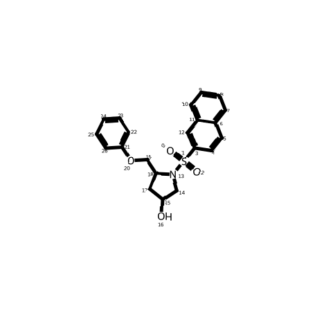 O=S(=O)(c1ccc2ccccc2c1)N1CC(O)CC1COc1ccccc1